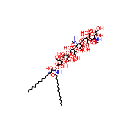 CCCCCCCCCCCCC/C=C/[C@@H](O)[C@H](CO[C@@H]1OC(CO)[C@@H](O[C@@H]2OC(CO)[C@H](O)[C@H](O[C@H]3OC(CO)[C@H](O)[C@H](O[C@@H]4OC(CO)[C@H](O)[C@H](O[C@@H]5OC(CO)[C@H](O)[C@H](O[C@]6(C(=O)O)CC(O)[C@@H](NC(C)=O)C([C@H](O)[C@H](O)CO)O6)C5O)C4NC(C)=O)C3O)C2O)[C@H](O)C1O)NC(=O)CCCCCCCCCCCCCCC